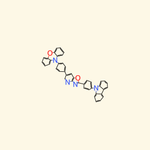 c1ccc2c(c1)Oc1ccccc1N2c1ccc(-c2cnc3nc(-c4ccc(-n5c6ccccc6c6ccccc65)cc4)oc3c2)cc1